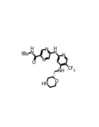 CC(C)(C)NC(=O)c1cnc(Nc2cc(NC[C@H]3CNCCO3)c(C(F)(F)F)cn2)cn1